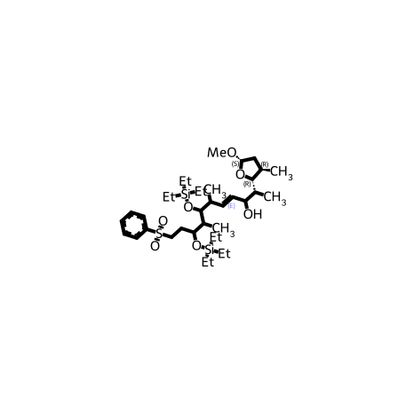 CC[Si](CC)(CC)OC(CCS(=O)(=O)c1ccccc1)C(C)C(O[Si](CC)(CC)CC)C(C)/C=C/C(O)C(C)[C@@H]1O[C@H](OC)C[C@H]1C